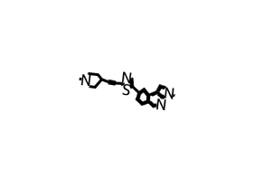 CN1CCC(C#Cc2ncc(-c3ccc4cnc5c(ccn5C)c4c3)s2)CC1